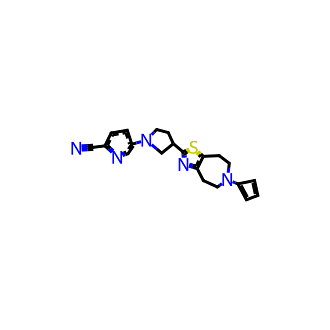 N#Cc1ccc(N2CCC(c3nc4c(s3)CCN(C3=CC=C3)CC4)C2)cn1